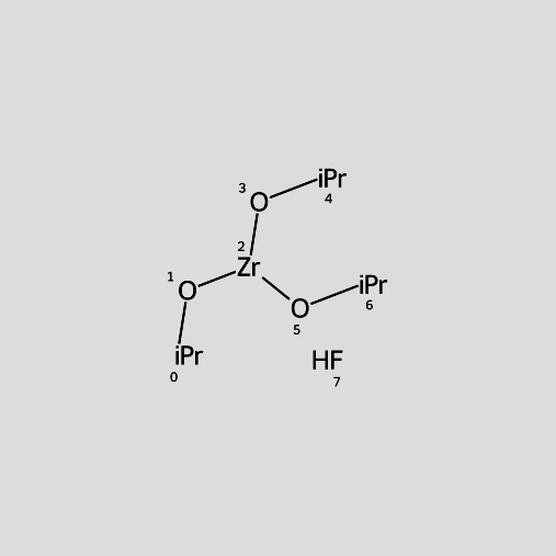 CC(C)[O][Zr]([O]C(C)C)[O]C(C)C.F